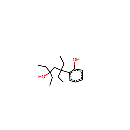 CCC(O)(CC)CC(CC)(CC)c1ccccc1O